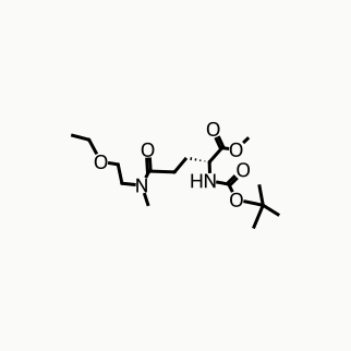 CCOCCN(C)C(=O)CC[C@@H](NC(=O)OC(C)(C)C)C(=O)OC